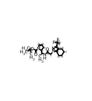 CC(NC(=O)Cn1nc(C(F)(F)F)c2c1CCCC2)C1CC=CN1C(=O)OC(C)(C)C